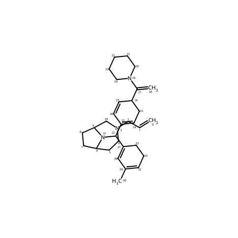 C=CCN1CCC2CCC(C1)N2C(C1=CCC(C(=C)N2CCCCC2)C=C1)C1=CC(C)=CCC1